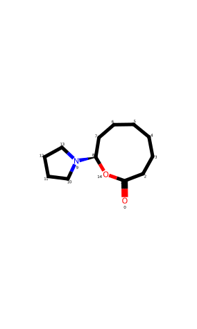 O=C1CCCCCC[C@H](N2CCCC2)O1